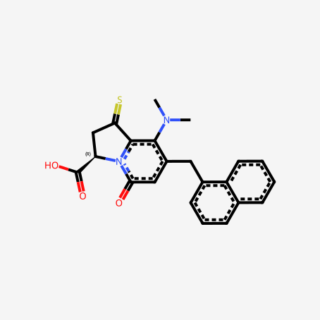 CN(C)c1c(Cc2cccc3ccccc23)cc(=O)n2c1C(=S)C[C@@H]2C(=O)O